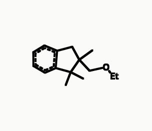 CCOCC1(C)Cc2ccccc2C1(C)C